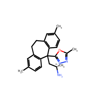 Cc1ccc2c(c1)CCc1cc(C)ccc1C2(C[C@H](C)N)c1nnc(C)o1